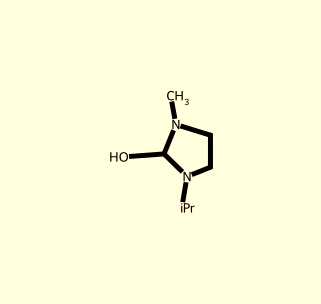 CC(C)N1CCN(C)C1O